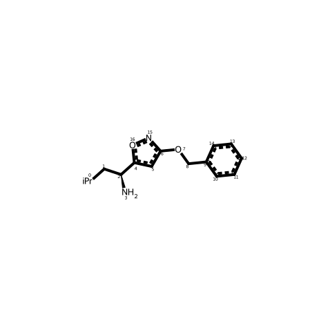 CC(C)C[C@H](N)c1cc(OCc2ccccc2)no1